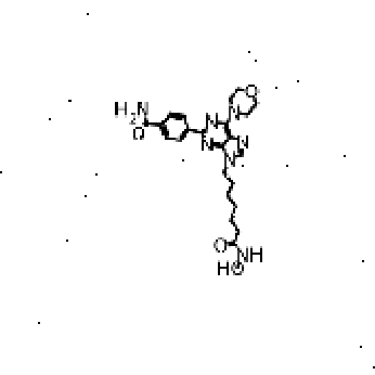 NC(=O)c1ccc(-c2nc(N3CCOCC3)c3ncn(CCCCCCC(=O)NO)c3n2)cc1